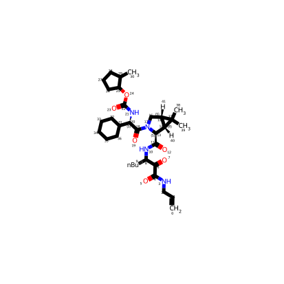 C=CCNC(=O)C(=O)C(CCCC)NC(=O)[C@@H]1[C@@H]2[C@H](CN1C(=O)[C@@H](NC(=O)OC1CCCC1C)C1CCCCC1)C2(C)C